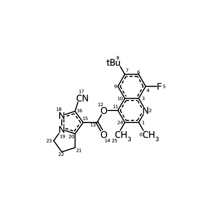 Cc1nc2c(F)cc(C(C)(C)C)cc2c(OC(=O)c2c(C#N)nn3c2CCC3)c1C